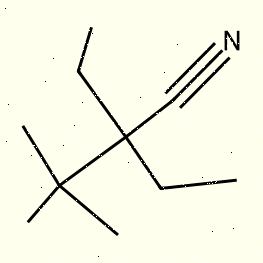 CCC(C#N)(CC)C(C)(C)C